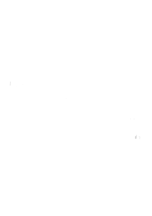 CC(C)Oc1ccc(-c2ccc(C(=O)O)cc2)cc1